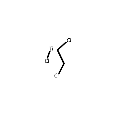 ClCCCl.[Cl][Ti]